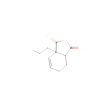 CCCC12C=CCCC1C(=O)OC2=O